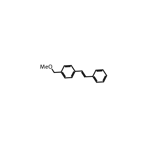 [CH2]OCc1ccc(C=Cc2ccccc2)cc1